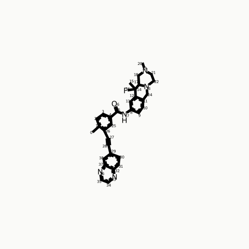 Cc1ccc(C(=O)Nc2ccc3c(c2)C(C)(F)C2CN(C)CCN2C3)cc1C#Cc1ccc2nccnc2c1